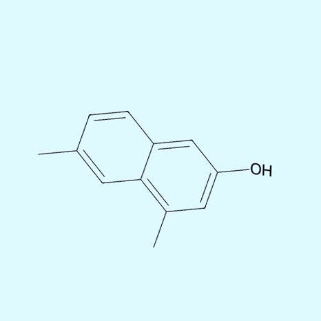 Cc1ccc2cc(O)cc(C)c2c1